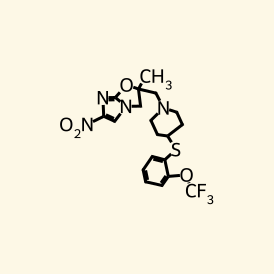 CC1(CN2CCC(Sc3ccccc3OC(F)(F)F)CC2)Cn2cc([N+](=O)[O-])nc2O1